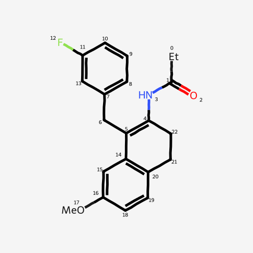 CCC(=O)NC1=C(Cc2cccc(F)c2)c2cc(OC)ccc2CC1